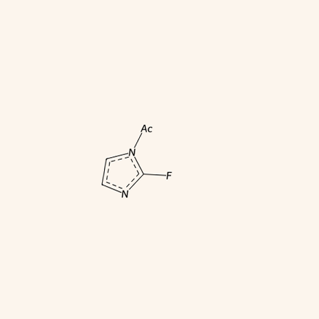 CC(=O)n1ccnc1F